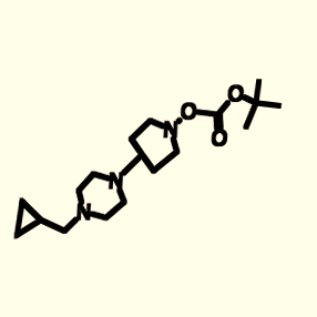 CC(C)(C)OC(=O)ON1CCC(N2CCN(CC3CC3)CC2)CC1